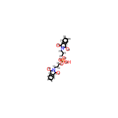 O=C1C2C3C=CC(C3)C2C(=O)N1CCCOP(=O)(O)OCCCN1C(=O)C2C3C=CC(C3)C2C1=O